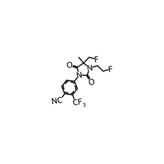 CC1(CF)C(=O)N(c2ccc(C#N)c(C(F)(F)F)c2)C(=O)N1CCF